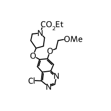 CCOC(=O)N1CCC(Oc2cc3c(Cl)ncnc3cc2OCCOC)CC1